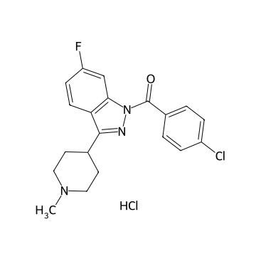 CN1CCC(c2nn(C(=O)c3ccc(Cl)cc3)c3cc(F)ccc23)CC1.Cl